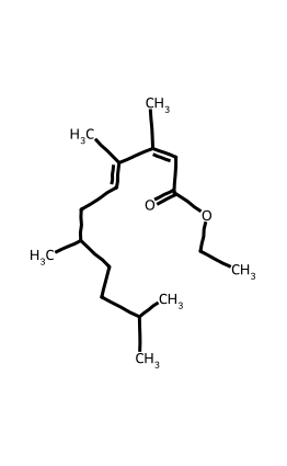 CCOC(=O)C=C(C)C(C)=CCC(C)CCC(C)C